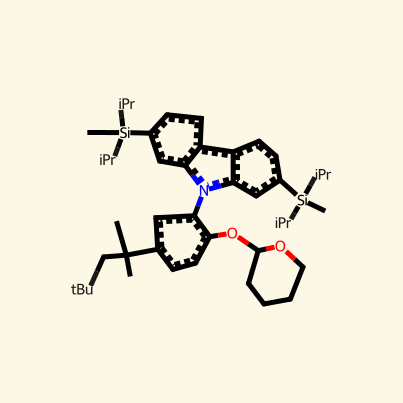 CC(C)[Si](C)(c1ccc2c3ccc([Si](C)(C(C)C)C(C)C)cc3n(-c3cc(C(C)(C)CC(C)(C)C)ccc3OC3CCCCO3)c2c1)C(C)C